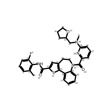 Cc1cccc(F)c1NC(=O)c1cc2c(s1)-c1ccccc1N(C(=O)c1cccc(N(C)CC3CCCO3)n1)CC2